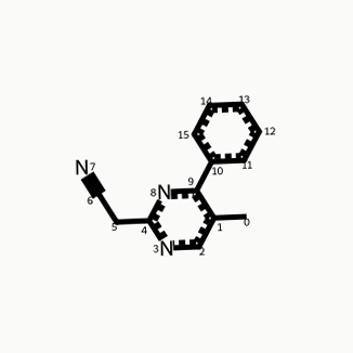 Cc1cnc(CC#N)nc1-c1ccccc1